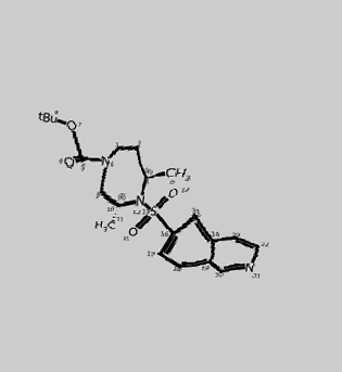 C[C@@H]1CCN(C(=O)OC(C)(C)C)C[C@@H](C)N1S(=O)(=O)c1ccc2cnccc2c1